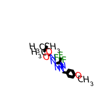 COc1ccc(Cn2nc(N=NC(=O)OC(C)(C)C)c(C(F)(F)F)n2)cc1